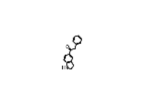 O=C(Cc1ccccc1)c1ccc2c(c1)CCN2